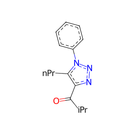 CCCc1c(C(=O)C(C)C)nnn1-c1ccccc1